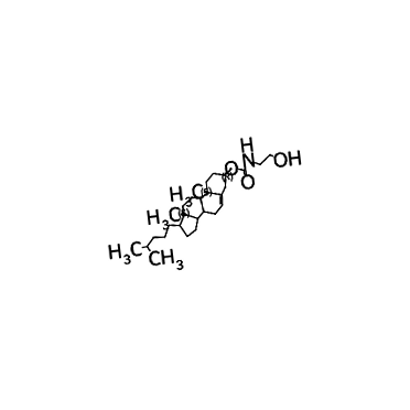 CC(C)CCCC1CCC2C3CC=C4C[C@H](OC(=O)NCCO)CC[C@@]4(C)C3CC[C@@]12C